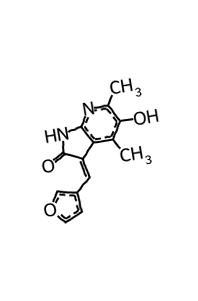 Cc1nc2c(c(C)c1O)/C(=C/c1ccoc1)C(=O)N2